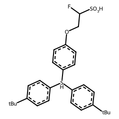 CC(C)(C)c1ccc([SH](c2ccc(OCC(F)S(=O)(=O)O)cc2)c2ccc(C(C)(C)C)cc2)cc1